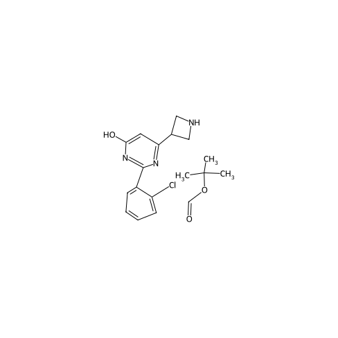 CC(C)(C)OC=O.Oc1cc(C2CNC2)nc(-c2ccccc2Cl)n1